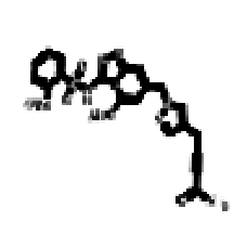 COc1ccccc1S(=O)(=O)Nc1nnc2cc(Cn3cc(CC#CC(N)=O)cn3)cc(OC)n12